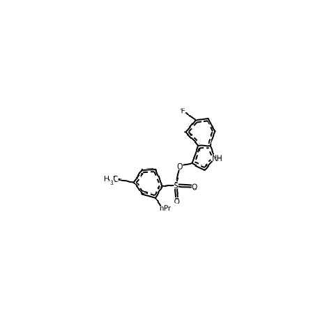 CCCc1cc(C)ccc1S(=O)(=O)Oc1c[nH]c2ccc(F)cc12